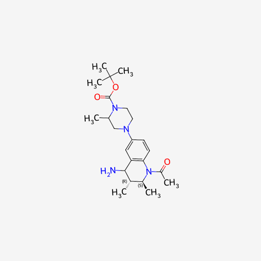 CC(=O)N1c2ccc(N3CCN(C(=O)OC(C)(C)C)C(C)C3)cc2C(N)[C@@H](C)[C@@H]1C